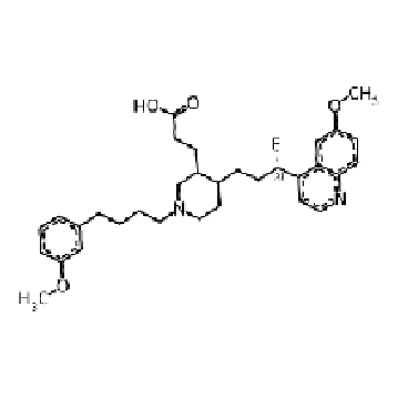 COc1cccc(CCCCN2CCC(CC[C@H](F)c3ccnc4ccc(OC)cc34)C(CCC(=O)O)C2)c1